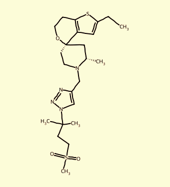 CCc1cc2c(s1)CCO[C@@]21CCN(Cc2cn(C(C)(C)CCS(C)(=O)=O)nn2)[C@@H](C)C1